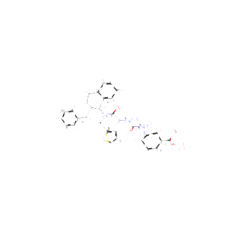 O=C(NCC(=O)N(Cc1cccs1)C1c2ccccc2CCC1Cc1ccccc1)Nc1cccc(C(=O)O)c1